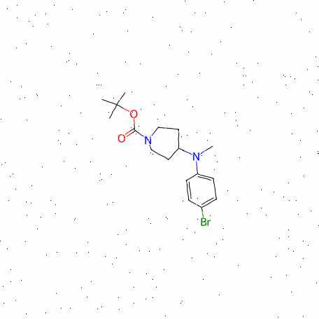 CN(c1ccc(Br)cc1)C1CCN(C(=O)OC(C)(C)C)CC1